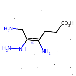 NC/C(NN)=C(/N)CCC(=O)O